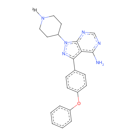 [2H]N1CCC(n2nc(-c3ccc(Oc4ccccc4)cc3)c3c(N)ncnc32)CC1